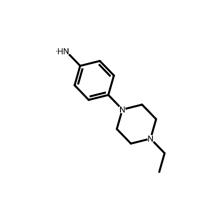 CCN1CCN(c2ccc([NH])cc2)CC1